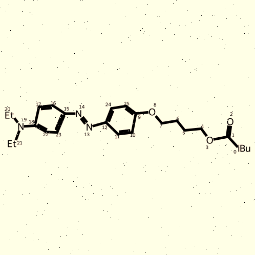 CCC(C)C(=O)OCCCCOc1ccc(N=Nc2ccc(N(CC)CC)cc2)cc1